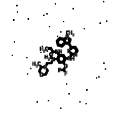 C=CC(=O)Nc1cc(Nc2nccc(-c3cn(C)c4ccccc34)n2)c(OC(F)F)cc1N(C)CCN1CCOCC1C